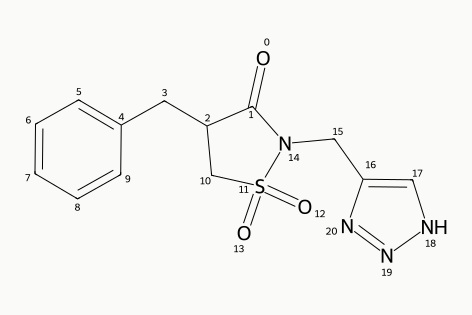 O=C1C(Cc2ccccc2)CS(=O)(=O)N1Cc1c[nH]nn1